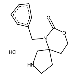 Cl.O=C1OCCC2(CCNC2)N1Cc1ccccc1